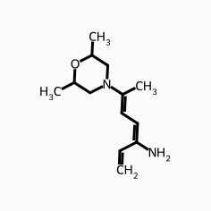 C=C/C(N)=C\C=C(/C)N1CC(C)OC(C)C1